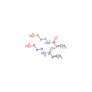 C=CC(=O)NCCCO.C=CC(=O)NCCCO